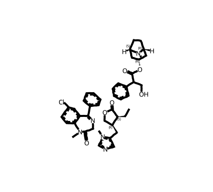 CC[C@@H]1C(=O)OC[C@@H]1Cc1cncn1C.CN1C(=O)CN=C(c2ccccc2)c2cc(Cl)ccc21.CN1[C@@H]2CC[C@H]1C[C@@H](OC(=O)C(CO)c1ccccc1)C2